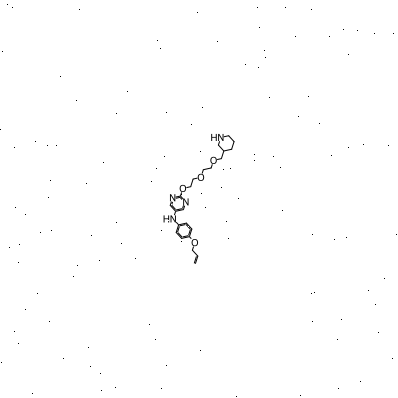 C=CCOc1ccc(Nc2cnc(OCCOCCOCC3CCCNC3)nc2)cc1